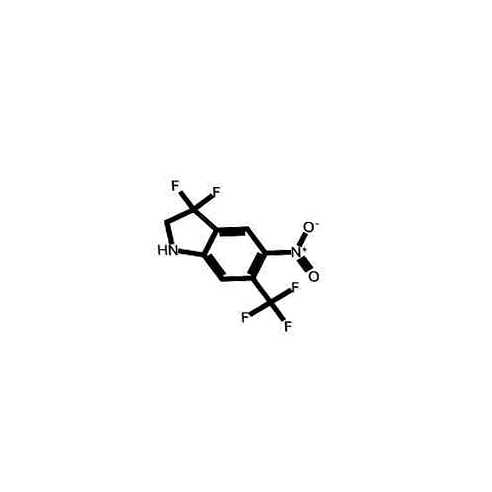 O=[N+]([O-])c1cc2c(cc1C(F)(F)F)NCC2(F)F